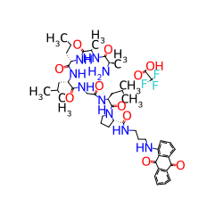 CCC[C@H](NC(=O)[C@H](C)NC(=O)[C@@H](C)N)C(=O)N[C@@H](CC(C)C)C(=O)NCC(=O)N[C@@H](CC(C)C)C(=O)N1CCC[C@H]1C(=O)NCCCNc1cccc2c1C(=O)c1ccccc1C2=O.O=C(O)C(F)(F)F